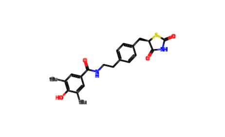 CC(C)(C)c1cc(C(=O)NCCc2ccc(C[C@H]3SC(=O)NC3=O)cc2)cc(C(C)(C)C)c1O